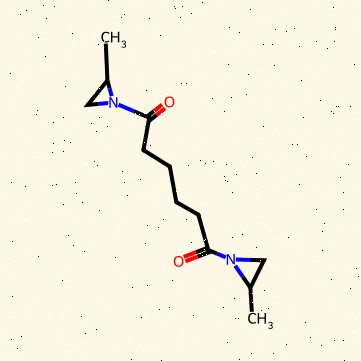 CC1CN1C(=O)CCCCC(=O)N1CC1C